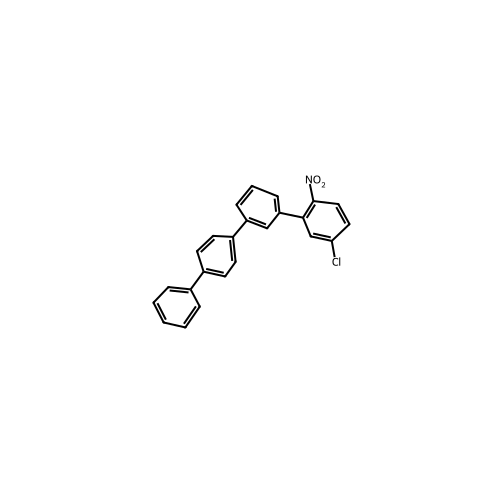 O=[N+]([O-])c1ccc(Cl)cc1-c1cccc(-c2ccc(-c3ccccc3)cc2)c1